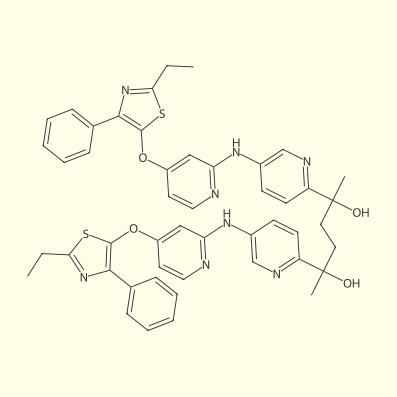 CCc1nc(-c2ccccc2)c(Oc2ccnc(Nc3ccc(C(C)(O)CCC(C)(O)c4ccc(Nc5cc(Oc6sc(CC)nc6-c6ccccc6)ccn5)cn4)nc3)c2)s1